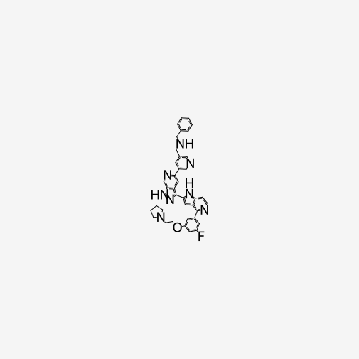 Fc1cc(OCCN2CCCC2)cc(-c2nccc3[nH]c(-c4n[nH]c5cnc(-c6cncc(CNCc7ccccc7)c6)cc45)cc23)c1